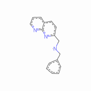 c1ccc(C[N]Cc2ccc3cccnc3n2)cc1